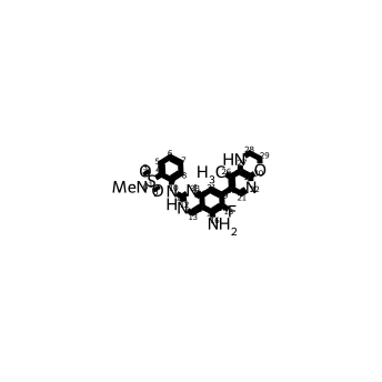 CNS(=O)(=O)c1ccccc1Nc1ncc2c(N)c(F)c(-c3cnc4c(c3C)NCCO4)cc2n1